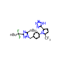 CCCCc1nc(C(F)(F)CCCC)nn1Cc1ccc(-n2c(-c3nnn[nH]3)ccc2C(F)(F)F)cc1